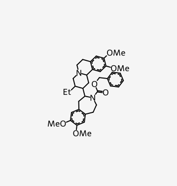 CCC1CN2CCc3cc(OC)c(OC)cc3C2CC1C1Cc2cc(OC)c(OC)cc2CCN1C(=O)OCc1ccccc1